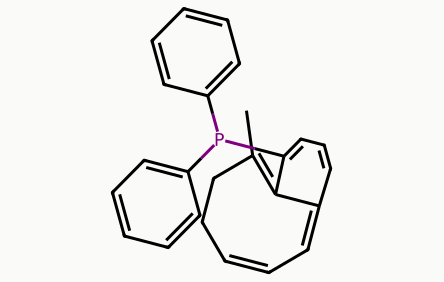 C/C1=c2/c(P(c3ccccc3)c3ccccc3)ccc/c2=C/C=C\CC1